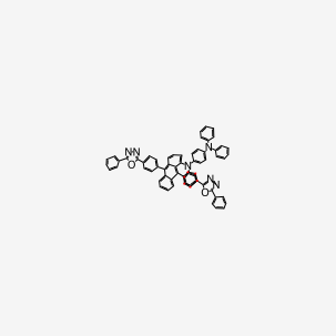 c1ccc(-c2nnc(-c3ccc(-c4c5ccccc5c(-c5ccc(-c6nnc(-c7ccccc7)o6)cc5)c5c(N(c6ccccc6)c6ccc(N(c7ccccc7)c7ccccc7)cc6)cccc45)cc3)o2)cc1